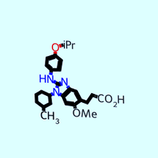 COc1cc2c(cc1CCC(=O)O)nc(Nc1ccc(OC(C)C)cc1)n2C1CCCC(C)C1